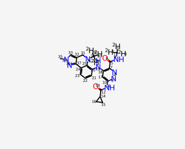 [2H]C([2H])([2H])NC(=O)c1nnc(NC(=O)C2CC2)cc1Nc1cccc2c1N(C([2H])([2H])[2H])Cc1cn(C)nc1-2